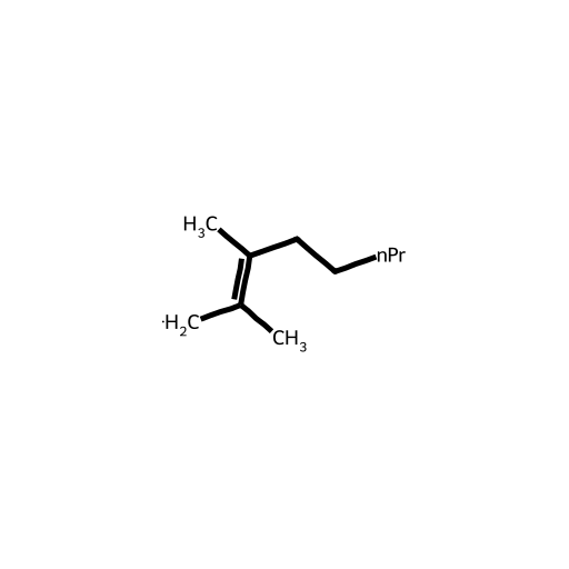 [CH2]C(C)=C(C)CCCCC